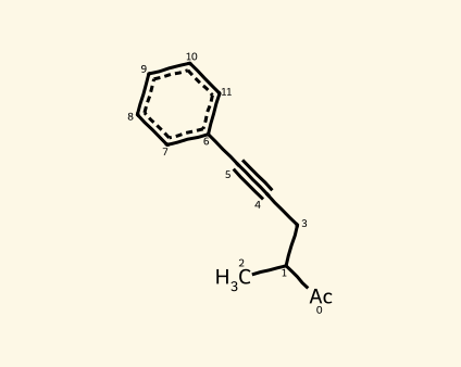 CC(=O)C(C)CC#Cc1ccccc1